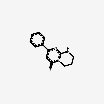 O=c1cc(-c2ccccc2)nc2n1CCCN2